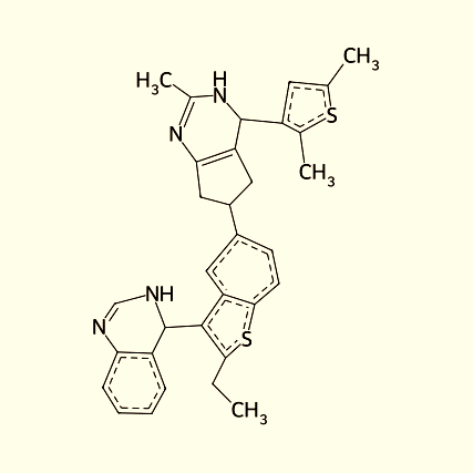 CCc1sc2ccc(C3CC4=C(C3)C(c3cc(C)sc3C)NC(C)=N4)cc2c1C1NC=Nc2ccccc21